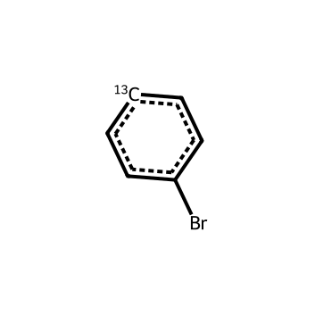 Brc1cc[13cH]cc1